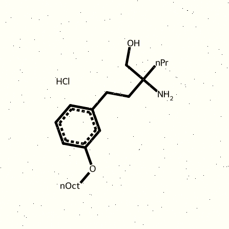 CCCCCCCCOc1cccc(CCC(N)(CO)CCC)c1.Cl